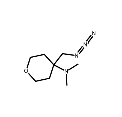 CN(C)C1(CN=[N+]=[N-])CCOCC1